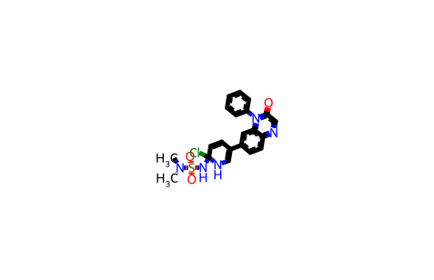 CN(C)S(=O)(=O)NC1(Cl)C=CC(c2ccc3ncc(=O)n(-c4ccccc4)c3c2)=CN1